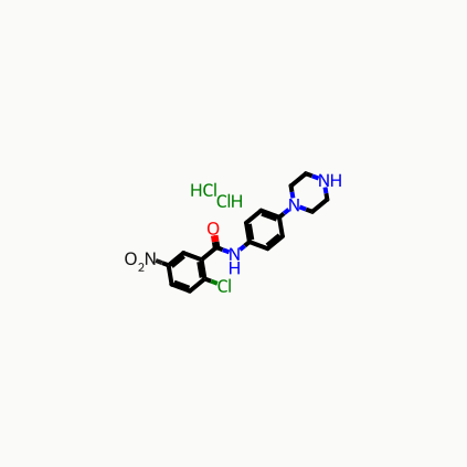 Cl.Cl.O=C(Nc1ccc(N2CCNCC2)cc1)c1cc([N+](=O)[O-])ccc1Cl